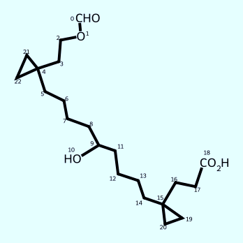 O=COCCC1(CCCCC(O)CCCCC2(CCC(=O)O)CC2)CC1